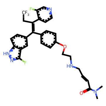 CN(C)C(=O)/C=C/CNCCOc1ccc(/C(=C(/CC(F)(F)F)c2ccncc2F)c2ccc3[nH]nc(F)c3c2)cc1